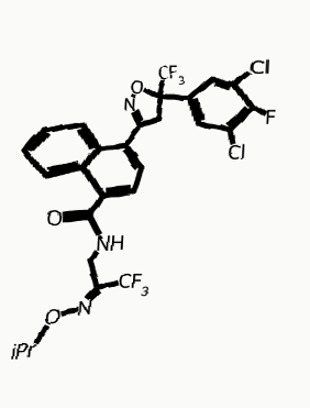 CC(C)O/N=C(\CNC(=O)c1ccc(C2=NOC(c3cc(Cl)c(F)c(Cl)c3)(C(F)(F)F)C2)c2ccccc12)C(F)(F)F